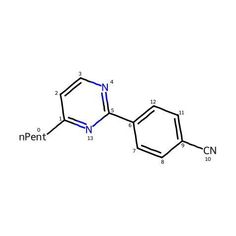 CCCCCc1ccnc(-c2ccc(C#N)cc2)n1